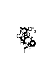 Cc1cc(C(F)(F)F)cc(N2C(=O)C[C@@H]3CN(CCI)c4c(F)cccc4N(C)C(=O)[C@H]32)n1